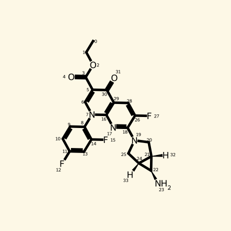 CCOC(=O)c1cn(-c2ccc(F)cc2F)c2nc(N3C[C@@H]4[C@@H](N)[C@@H]4C3)c(F)cc2c1=O